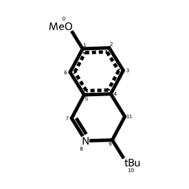 COc1ccc2c(c1)C=NC(C(C)(C)C)C2